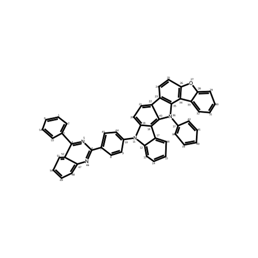 c1ccc(-c2nc(-c3ccc(-n4c5ccccc5c5c4ccc4c6ccc7oc8ccccc8c7c6n(-c6ccccc6)c45)cc3)nc3ccccc23)cc1